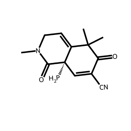 CN1CC=C2C(C)(C)C(=O)C(C#N)=C[C@@]2(P)C1=O